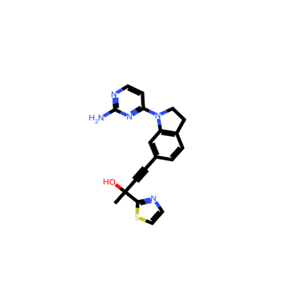 CC(O)(C#Cc1ccc2c(c1)N(c1ccnc(N)n1)CC2)c1nccs1